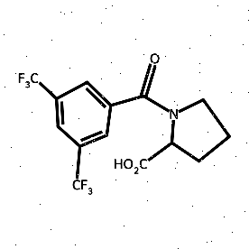 O=C(O)C1CCCN1C(=O)c1cc(C(F)(F)F)cc(C(F)(F)F)c1